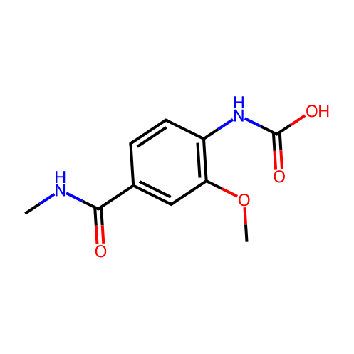 CNC(=O)c1ccc(NC(=O)O)c(OC)c1